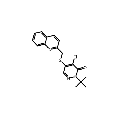 CC(C)(C)n1ncc(SCc2ccc3ccccc3n2)c(Cl)c1=O